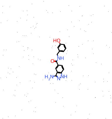 Nc1n[nH]c2ccc(C(=O)NCc3cccc(O)c3)cc12